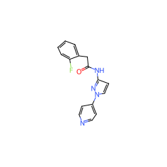 O=C(Cc1ccccc1F)Nc1ccn(-c2ccncc2)n1